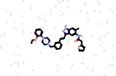 CCOc1ccccc1N1CCN(Cc2cccc(/C=C/c3n[nH]c4cc(C)c(NC(=O)Cc5cccs5)cc34)c2)CC1